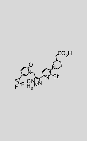 CCc1nc(-c2nnn(C)c2Cn2cc(C3CC3(F)F)ccc2=O)ccc1N1CCC[C@H](CC(=O)O)C1